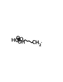 [CH2]CCCCCOP(=O)(O)O